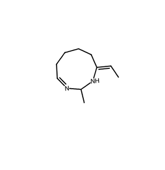 C/C=C1/CCCC/C=N\C(C)N1